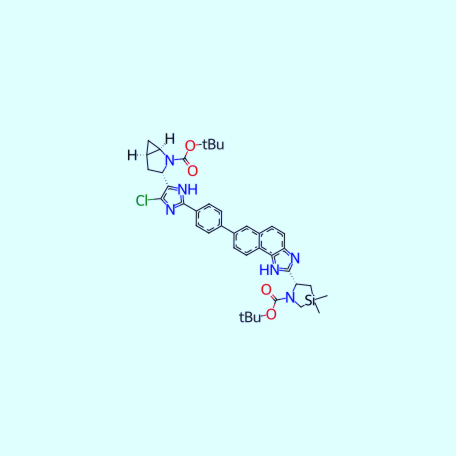 CC(C)(C)OC(=O)N1C[Si](C)(C)C[C@H]1c1nc2ccc3cc(-c4ccc(-c5nc(Cl)c([C@@H]6C[C@H]7C[C@H]7N6C(=O)OC(C)(C)C)[nH]5)cc4)ccc3c2[nH]1